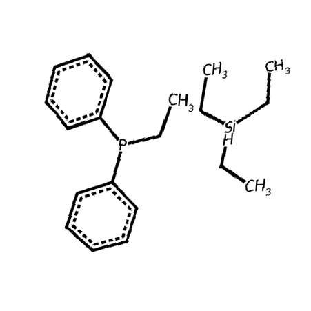 CCP(c1ccccc1)c1ccccc1.CC[SiH](CC)CC